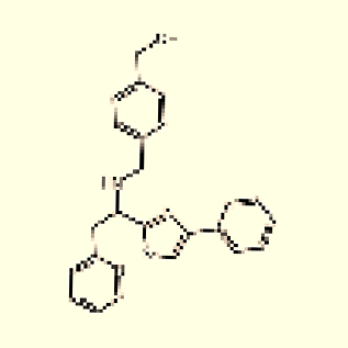 OCc1ccc(CNC(Cc2ccccn2)c2nc(-c3ccccc3)cs2)cc1